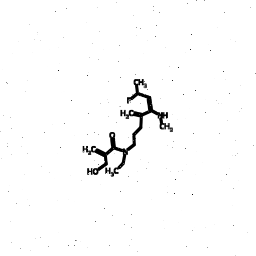 C=C(CO)C(=O)N(CC)CCCC(=C)/C(=C\C(C)F)NC